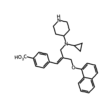 O=C(O)c1ccc(C=C(COc2cccc3ccccc23)CN(C2CCNCC2)C2CC2)cc1